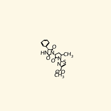 COC(=O)c1csc(N2C(=O)[C@H](N3C(=O)N[C@@H](c4ccccc4)C3=O)CC2C)n1